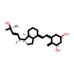 C=C1C(=CC=C2CCC[C@@]3(C)C2CC[C@@H]3[C@H](C)/C=C/[C@@](C)(O)C(C)C)C[C@@H](O)C[C@@H]1O